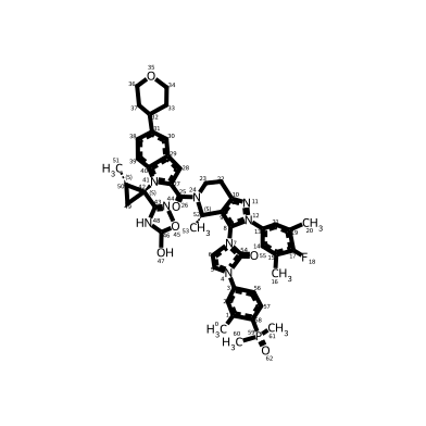 Cc1cc(-n2ccn(-c3c4c(nn3-c3cc(C)c(F)c(C)c3)CCN(C(=O)c3cc5cc(C6CCOCC6)ccc5n3[C@@]3(C5=NOC(O)N5)C[C@@H]3C)[C@H]4C)c2=O)ccc1P(C)(C)=O